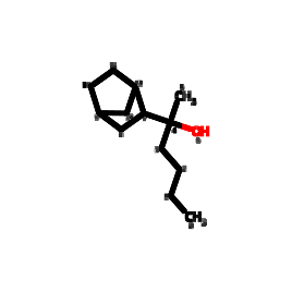 CCCCC(C)(O)C1CC2CCC1C2